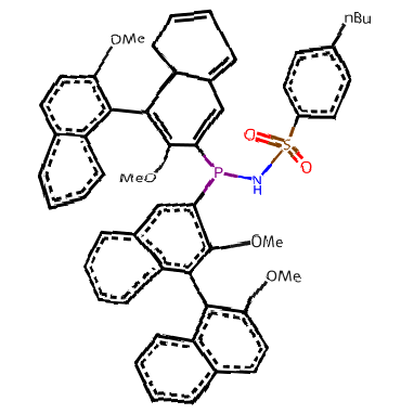 CCCCc1ccc(S(=O)(=O)NP(C2=CC3=CC=CCC3C(c3c(OC)ccc4ccccc34)=C2OC)c2cc3ccccc3c(-c3c(OC)ccc4ccccc34)c2OC)cc1